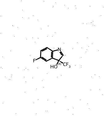 O[C@@]1(C(F)(F)F)C=Nc2ccc(F)cc21